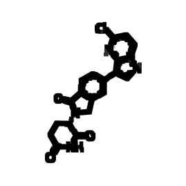 O=C1CC[C@H](N2Cc3cc(-c4cnn5ccc(Cl)nc45)ccc3C2=O)C(=O)N1